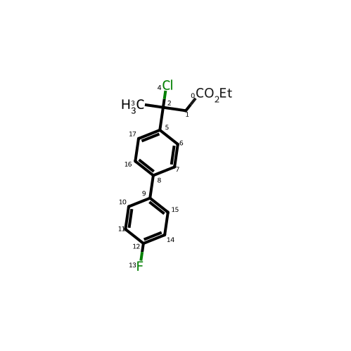 CCOC(=O)CC(C)(Cl)c1ccc(-c2ccc(F)cc2)cc1